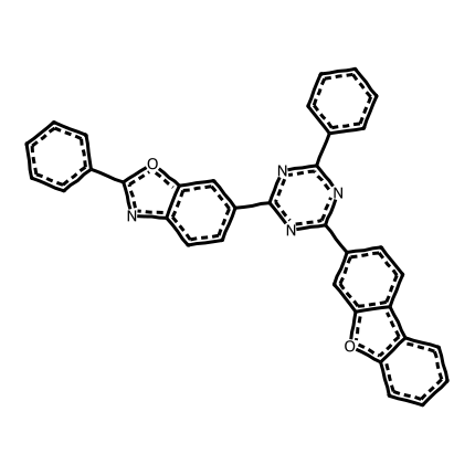 c1ccc(-c2nc(-c3ccc4nc(-c5ccccc5)oc4c3)nc(-c3ccc4c(c3)oc3ccccc34)n2)cc1